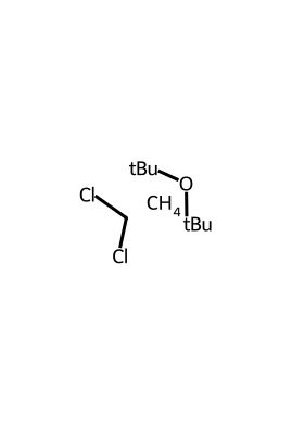 C.CC(C)(C)OC(C)(C)C.ClCCl